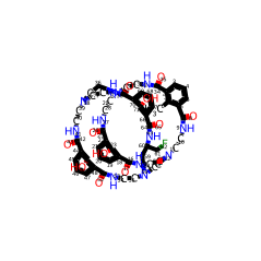 Cc1c2cccc1C(=O)NCCN1CCNC(=O)c3cccc(c3O)C(=O)NCCN(CCNC2=O)CCN2CCNC(=O)c3cccc(c3O)C(=O)NCCN(CC1)CC(CF)NC(=O)c1cccc(c1O)C(=O)NCC2